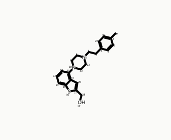 Cc1ccc(CCN2CCN(c3cccc4sc(CO)cc34)CC2)cc1